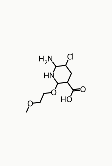 COCCOC1NC(N)C(Cl)CC1C(=O)O